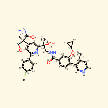 C[C@]1(C(N)=O)COc2c1cc(C(O)(CNC(=O)c1ccc(-c3cnccc3C(F)(F)F)c(OC3CC3)c1)C(F)(F)F)nc2-c1ccc(F)cc1